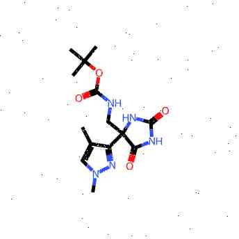 Cc1cn(C)nc1C1(CNC(=O)OC(C)(C)C)NC(=O)NC1=O